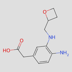 Nc1ccc(CC(=O)O)cc1NCC1CCO1